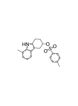 Cc1ccc(S(=O)(=O)OC2CCc3[nH]c4c(C)cccc4c3C2)cc1